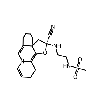 CS(=O)(=O)NCCN[C@]1(C#N)CC23CCCCC2=CN2C=CCCC2=C3O1